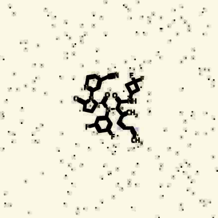 C=C(/C=C\C=C/C)[C@@H](C(=O)NC1CC(F)(F)C1)N(C(=O)[C@@H]1CCC(=O)N1c1cc(C#N)ccn1)c1cc(F)cc(F)c1